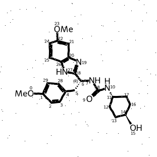 COc1ccc(C[C@@H](NC(=O)N[C@H]2CC[C@H](O)CC2)c2nc3cc(OC)ccc3[nH]2)cc1